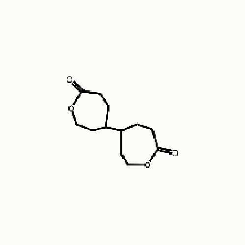 O=C1CCC(C2CCOC(=O)CC2)CCO1